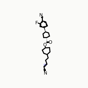 N#C/C=C/CCC1CCC(OC(=O)[C@H]2CC[C@H](c3ccc(C#N)c(F)c3)CC2)CC1